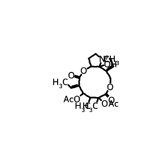 C/C=C1\C(=O)OC2CC[N+]3(C)CC=C(COC(=O)C(C)(OC(C)=O)C(C)C1OC(C)=O)C23O